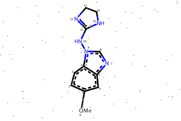 COc1ccc2c(c1)ncn2NC1=NCCN1